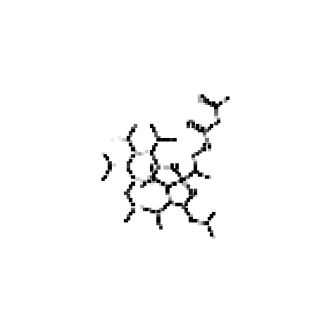 CC(=O)CC(=O)OCC(C)C1(OC2OC(CC(C)C)C(C(C)C)C(C(C)C)C2C(C)C)OC(CC(C)C)C(C(C)C)C1C(C)C